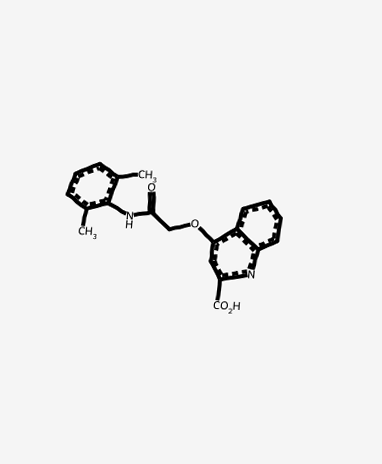 Cc1cccc(C)c1NC(=O)COc1cc(C(=O)O)nc2ccccc12